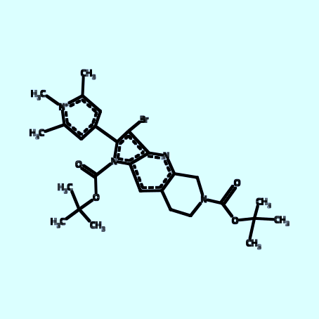 Cc1cc(-c2c(Br)c3nc4c(cc3n2C(=O)OC(C)(C)C)CCN(C(=O)OC(C)(C)C)C4)cc(C)[n+]1C